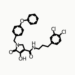 O=C(NCCCc1ccc(Cl)c(Cl)c1)C1=C(O)C(=O)N(Cc2ccc(Oc3ccccc3)cc2)C1